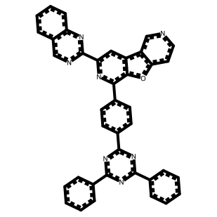 c1ccc(-c2nc(-c3ccccc3)nc(-c3ccc(-c4nc(-c5ncc6ccccc6n5)cc5c4oc4ccncc45)cc3)n2)cc1